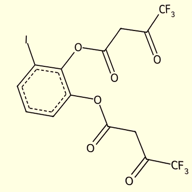 O=C(CC(=O)C(F)(F)F)Oc1cccc(I)c1OC(=O)CC(=O)C(F)(F)F